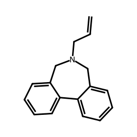 C=CCN1Cc2ccccc2-c2ccccc2C1